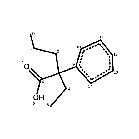 CCCC(CC)(C(=O)O)c1ccccc1